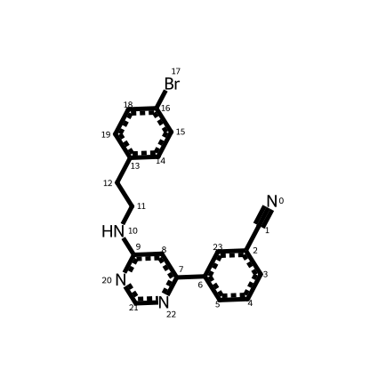 N#Cc1cccc(-c2cc(NCCc3ccc(Br)cc3)ncn2)c1